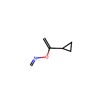 C=NOC(=C)C1CC1